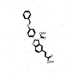 COC(=O)/C=C/c1ccc2c(c1)[C@@H](C(=O)OC)[C@@H](c1ccc(OCc3ccccc3)cc1)O2